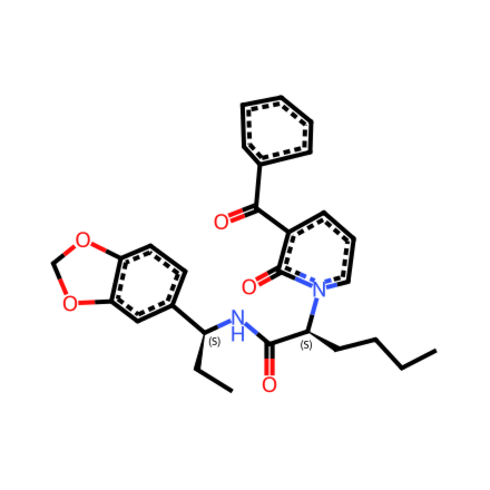 CCCC[C@@H](C(=O)N[C@@H](CC)c1ccc2c(c1)OCO2)n1cccc(C(=O)c2ccccc2)c1=O